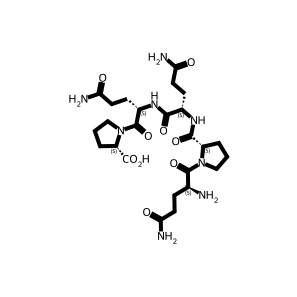 NC(=O)CC[C@H](NC(=O)[C@@H]1CCCN1C(=O)[C@@H](N)CCC(N)=O)C(=O)N[C@@H](CCC(N)=O)C(=O)N1CCC[C@H]1C(=O)O